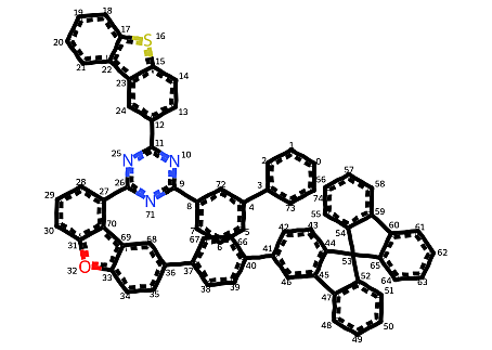 c1ccc(-c2cccc(-c3nc(-c4ccc5sc6ccccc6c5c4)nc(-c4cccc5oc6ccc(-c7ccc(-c8ccc9c(c8)-c8ccccc8C98c9ccccc9-c9ccccc98)cc7)cc6c45)n3)c2)cc1